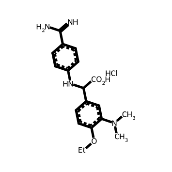 CCOc1ccc(C(Nc2ccc(C(=N)N)cc2)C(=O)O)cc1N(C)C.Cl